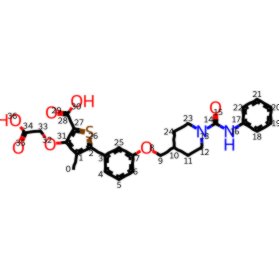 Cc1c(-c2cccc(OCC3CCN(C(=O)Nc4ccccc4)CC3)c2)sc(C(=O)O)c1OCC(=O)O